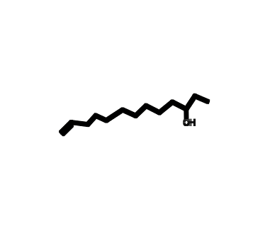 C=CCCCCCCCCC(O)CC